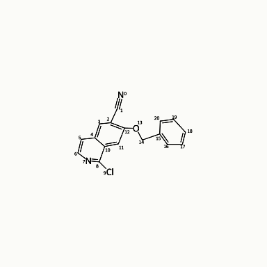 N#Cc1cc2ccnc(Cl)c2cc1OCc1ccccc1